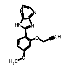 C#CCOc1cc(OC)ccc1-c1nc2nccnc2[nH]1